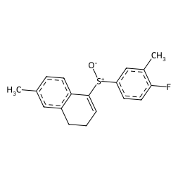 Cc1ccc2c(c1)CCC=C2[S+]([O-])c1ccc(F)c(C)c1